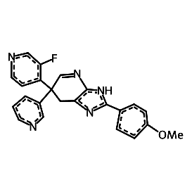 COc1ccc(-c2nc3c([nH]2)N=CC(c2cccnc2)(c2ccncc2F)C3)cc1